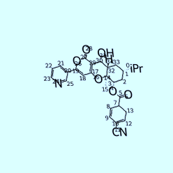 CC(C)[C@@H]1C[C@H](OC(=O)C2C=CC(C#N)=CC2)[C@@]2(C)Oc3cc(-c4cccnc4)oc(=O)c3[C@H](O)[C@@H]2C1